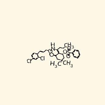 CCCC(NOCC=Cc1ccc(Cl)cc1Cl)=C1C(=O)CC(C)(C)CC1OS(=O)(=O)c1ccccc1